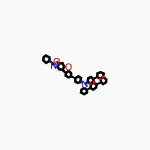 c1ccc(-c2ccc(-c3ccccc3N(c3ccc(-c4ccccc4)cc3)c3ccc(-c4ccc5c(c4)oc4cc6oc(-c7ccccc7)nc6cc45)cc3)cc2)cc1